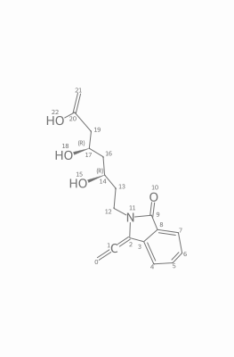 C=C=C1c2ccccc2C(=O)N1CC[C@@H](O)C[C@@H](O)CC(=C)O